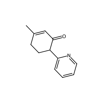 CC1=CC(=O)C(c2ccccn2)CC1